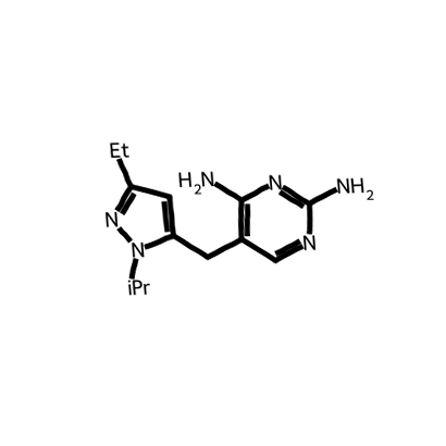 CCc1cc(Cc2cnc(N)nc2N)n(C(C)C)n1